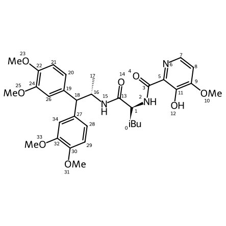 CC[C@H](C)[C@H](NC(=O)c1nccc(OC)c1O)C(=O)N[C@@H](C)C(c1ccc(OC)c(OC)c1)c1ccc(OC)c(OC)c1